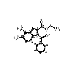 CCOC(=O)c1cc2c(C)c(C)ccc2n1C(=O)c1ccccc1